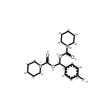 O=C(OC(OC(=O)N1CCCCC1)c1ccc(F)cc1)N1CCCCC1